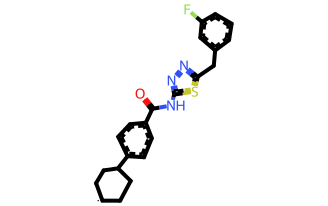 O=C(Nc1nnc(Cc2cccc(F)c2)s1)c1ccc(C2CC[CH]CC2)cc1